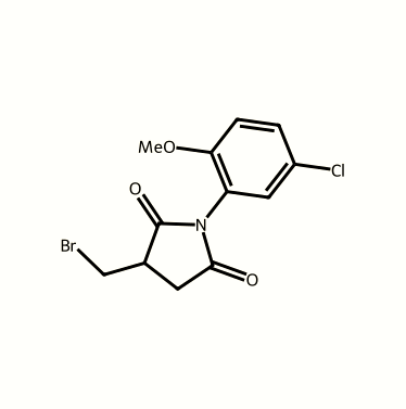 COc1ccc(Cl)cc1N1C(=O)CC(CBr)C1=O